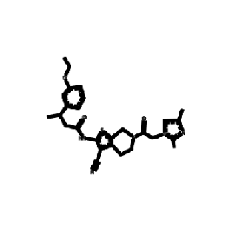 CCOc1cccc(C(C)CC(=O)Nc2sc3c(c2C#N)CCN(C(=O)Cn2cc(C)nc2C)C3)c1